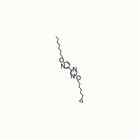 CCCCCCCCOc1ccc(-c2cnc(OCCCCCCC3CC3)cn2)cn1